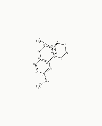 CN1CCC23CCCC[C@@]12CCc1ccc(OC(F)(F)F)cc13